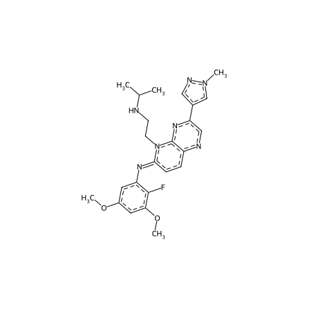 COc1cc(/N=c2\ccc3ncc(-c4cnn(C)c4)nc3n2CCNC(C)C)c(F)c(OC)c1